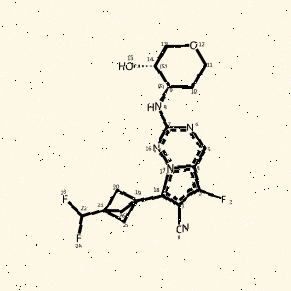 N#Cc1c(F)c2cnc(N[C@@H]3CCOC[C@H]3O)nn2c1C12CC(C(F)F)(C1)C2